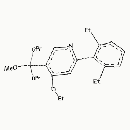 CCCC(CCC)(OC)c1cnc(-c2c(CC)cccc2CC)cc1OCC